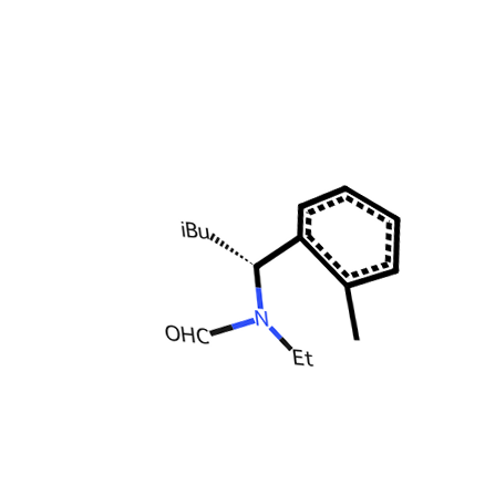 CCC(C)[C@H](c1ccccc1C)N(C=O)CC